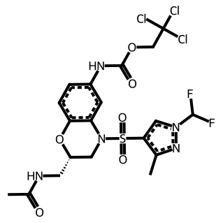 CC(=O)NC[C@H]1CN(S(=O)(=O)c2cn(C(F)F)nc2C)c2cc(NC(=O)OCC(Cl)(Cl)Cl)ccc2O1